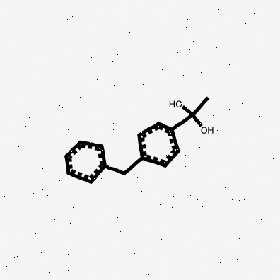 CC(O)(O)c1ccc(Cc2ccccc2)cc1